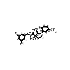 O=C(NCc1cc(F)cc(Cl)c1)[C@]1(O)CCN(c2cc(C(F)(F)F)ccc2F)C1=O